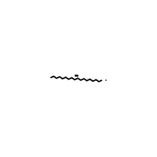 C=C.[CH2]CCCCCCCCCCCCCCCCC